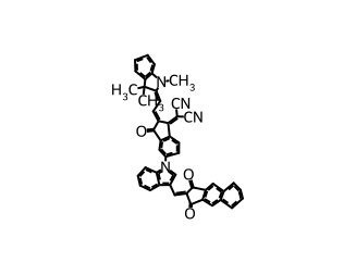 CN1/C(=C/C=C2/C(=O)c3cc(-n4cc(C=C5C(=O)c6cc7ccccc7cc6C5=O)c5ccccc54)ccc3C2=C(C#N)C#N)C(C)(C)c2ccccc21